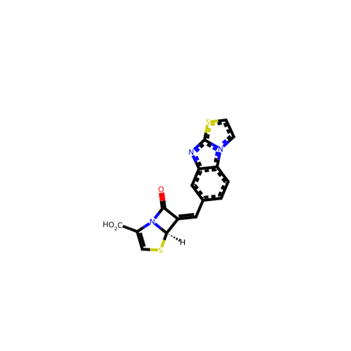 O=C(O)C1=CS[C@@H]2C(=Cc3ccc4c(c3)nc3sccn34)C(=O)N12